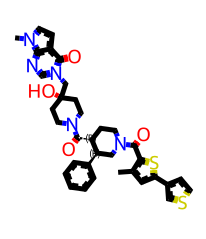 Cc1cc(-c2ccsc2)sc1C(=O)N1CC[C@@H](C(=O)N2CCC(O)(Cn3cnc4c(ccn4C)c3=O)CC2)[C@H](c2ccccc2)C1